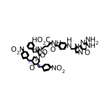 Nc1nc2nc(CNc3ccc(C(=O)N[C@@H](CCC(=O)N[C@H](Cc4ccccc4)C(=O)N4C/C(=C\c5ccc([N+](=O)[O-])cc5)C(=O)/C(=C/c5ccc([N+](=O)[O-])cc5)C4)C(=O)O)cc3)cnc2c(=O)[nH]1